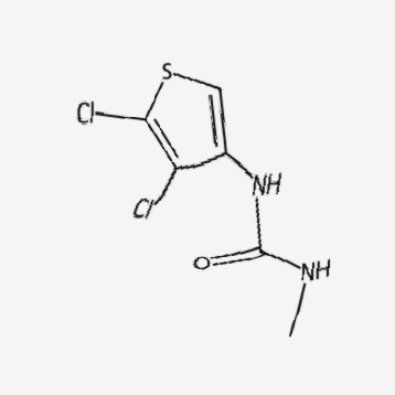 CNC(=O)Nc1csc(Cl)c1Cl